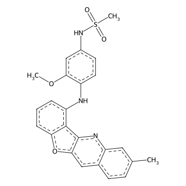 COc1cc(NS(C)(=O)=O)ccc1Nc1cccc2oc3cc4ccc(C)cc4nc3c12